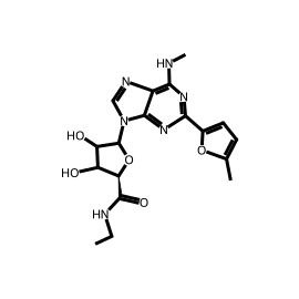 CCNC(=O)[C@@H]1OC(n2cnc3c(NC)nc(-c4ccc(C)o4)nc32)C(O)C1O